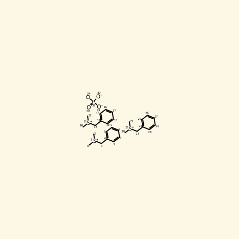 C[S+](C)Cc1ccccc1.C[S+](C)Cc1ccccc1.C[S+](C)Cc1ccccc1.O=P([O-])([O-])[O-]